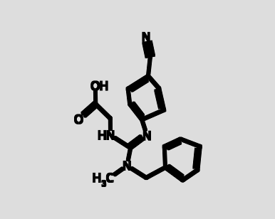 CN(Cc1ccccc1)C(=Nc1ccc(C#N)cc1)NCC(=O)O